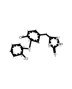 O=c1[nH]nc(Cc2ccc(Cl)c(Oc3ccccc3Cl)c2)o1